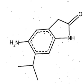 CC(C)c1cc2c(cc1N)CC(=O)N2